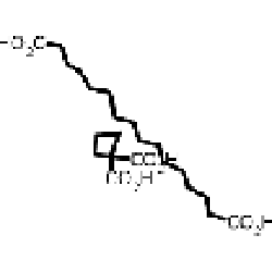 O=C(O)C1(C(=O)O)CCC1.O=C(O)CCCCCCCCCCCCCCC(=O)O